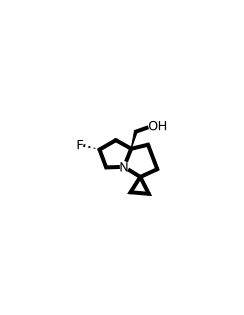 OC[C@@]12CCC3(CC3)N1C[C@H](F)C2